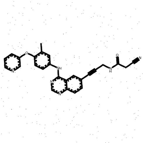 Cc1cc(Nc2ncnc3ccc(C#CCNC(=O)CC#N)cc23)ccc1Oc1cccnc1